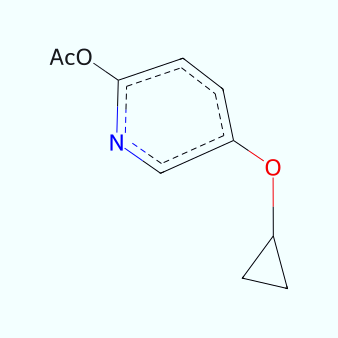 CC(=O)Oc1ccc(OC2CC2)cn1